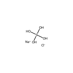 O[Si](O)(O)O.[Cl-].[Na+]